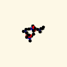 CC1(C)c2ccccc2-c2ccc(N(c3ccc(-c4cc5ccccc5c5c4oc4cccc(-c6nc(-c7ccccc7)nc(-c7ccc(-c8cccc(N(c9ccccc9)c9ccc(C%10=c%11oc%12cccc(-c%13nc(-c%14ccccc%14)nc(-c%14ccc(-c%15ccccc%15)cc%14)n%13)c%12c%11=C%11C=CC=CC%11C%10)cc9)c8)cc7)n6)c45)cc3)C3C=CCCC3)cc21